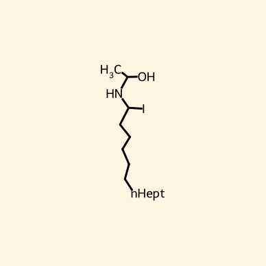 CCCCCCCCCCCCC(I)NC(C)O